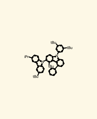 CC(C)c1ccc2c(c1)c1cc(C(C)(C)C)ccc1n2-c1ccc2c(c1C(C)(C)C)c1c(-c3ccccc3)cccc1n2-c1cc(C(C)(C)C)cc(C(C)(C)C)c1